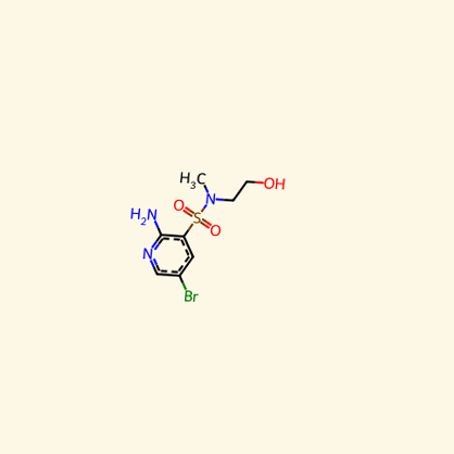 CN(CCO)S(=O)(=O)c1cc(Br)cnc1N